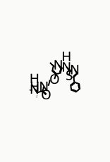 CN[C@@H](C)C(=O)NCCOc1cc(C)nc(Nc2ncc(-c3ccccc3)s2)c1